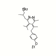 CCOc1ccc(C/C(C)=c2/c(C)nnc(CC(C)CC(C)(C)C)c2=C(C)C)cc1